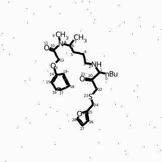 CCCCC(NCCCC(C)N(C)C(=O)COc1ccccc1)C(=O)CSCc1ccco1